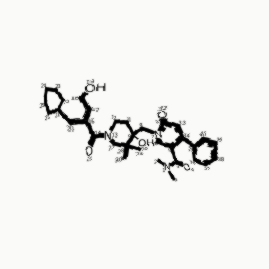 CN(C)C(=O)c1cn(C[C@@]2(O)CCN(C(=O)C(CCO)CC3CCCCC3)CC2(C)C)c(=O)cc1-c1ccccc1